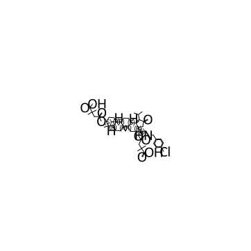 CC(C)C1=C2[C@H]3CC[C@@H]4[C@@]5(C)CC[C@H](OC(=O)CC(C)(C)C(=O)O)C(C)(C)[C@@H]5CC[C@@]4(C)[C@]3(C)CC[C@@]2([C@@H](CNCc2ccc(Cl)cc2)OC(=O)CC(C)(C)C(=O)O)CC1=O